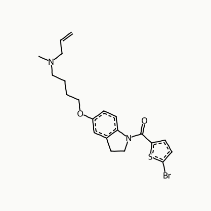 C=CCN(C)CCCCOc1ccc2c(c1)CCN2C(=O)c1ccc(Br)s1